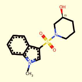 Cn1cc(S(=O)(=O)N2CCC[C@H](O)C2)c2ccccc21